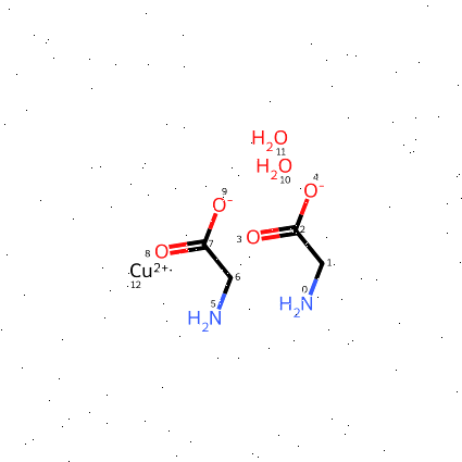 NCC(=O)[O-].NCC(=O)[O-].O.O.[Cu+2]